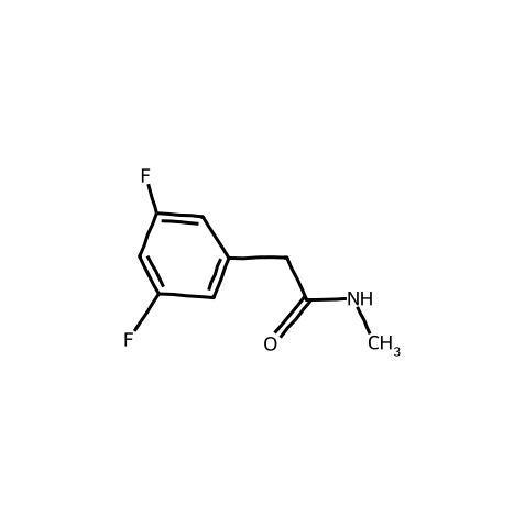 CNC(=O)Cc1cc(F)cc(F)c1